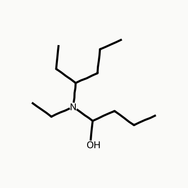 CCCC(O)N(CC)C(CC)CCC